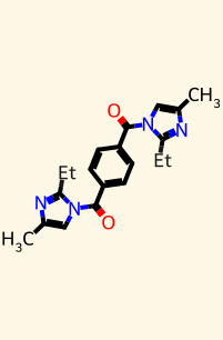 CCc1nc(C)cn1C(=O)c1ccc(C(=O)n2cc(C)nc2CC)cc1